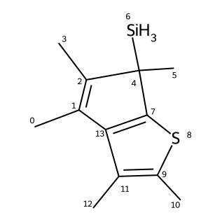 CC1=C(C)C(C)([SiH3])c2sc(C)c(C)c21